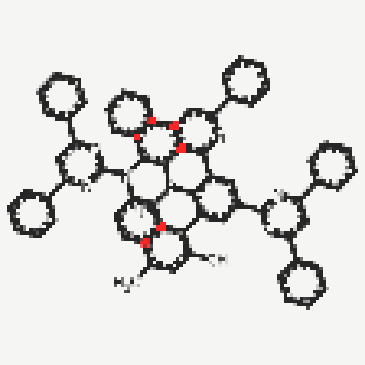 Cc1cc(C)c(-c2cc(-c3nc(-c4ccccc4)cc(-c4ccccc4)n3)cc(-c3nc(-c4ccccc4)cc(-c4ccccc4)n3)c2N2c3ccccc3N(c3nc(-c4ccccc4)cc(-c4ccccc4)n3)c3ccccc32)c(C)c1